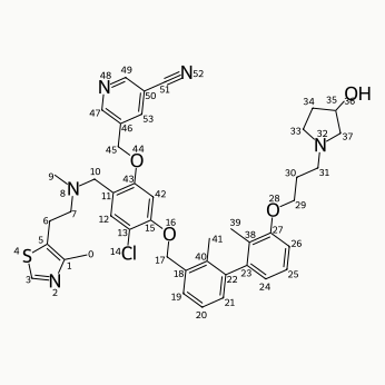 Cc1ncsc1CCN(C)Cc1cc(Cl)c(OCc2cccc(-c3cccc(OCCCN4CCC(O)C4)c3C)c2C)cc1OCc1cncc(C#N)c1